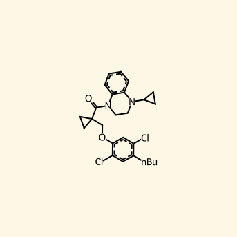 [CH2]CCCc1cc(Cl)c(OCC2(C(=O)N3CCN(C4CC4)c4ccccc43)CC2)cc1Cl